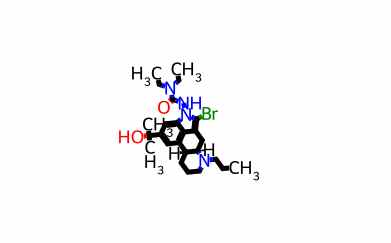 CCCN1CCC[C@@H]2c3cc(C(C)(C)O)cc4c3c(c(Br)n4NC(=O)N(CC)CC)C[C@H]21